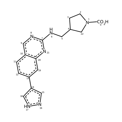 O=C(O)N1CCC(CNc2ncc3ccc(-c4cn[nH]c4)cc3n2)C1